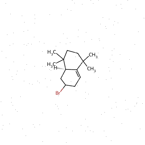 CC1(C)CCC(C)(C)[C@@H]2CC(Br)CC=C21